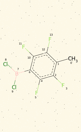 Cc1c(F)c(F)c(B(Cl)Cl)c(F)c1F